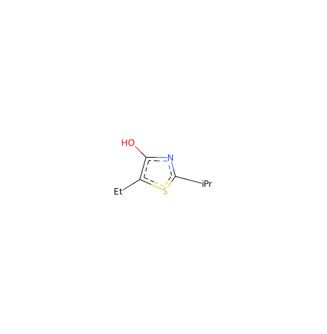 CCc1sc(C(C)C)nc1O